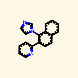 c1ccc(-c2ccc3ccccc3c2-n2ccnc2)nc1